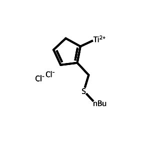 CCCCSCC1=[C]([Ti+2])CC=C1.[Cl-].[Cl-]